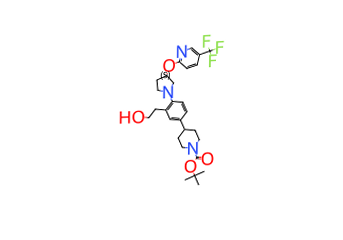 CC(C)(C)OC(=O)N1CCC(c2ccc(N3CC[C@H](Oc4ccc(C(F)(F)F)cn4)C3)c(CCO)c2)CC1